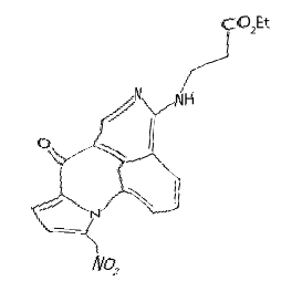 CCOC(=O)CCNc1ncc2c(=O)c3ccc([N+](=O)[O-])n3c3cccc1c23